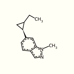 CCC1C[C@@H]1c1ccc2cnn(C)c2c1